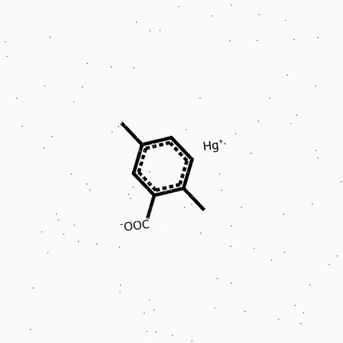 Cc1ccc(C)c(C(=O)[O-])c1.[Hg+]